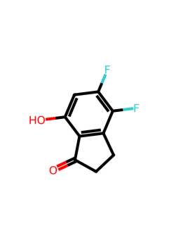 O=C1CCc2c(F)c(F)cc(O)c21